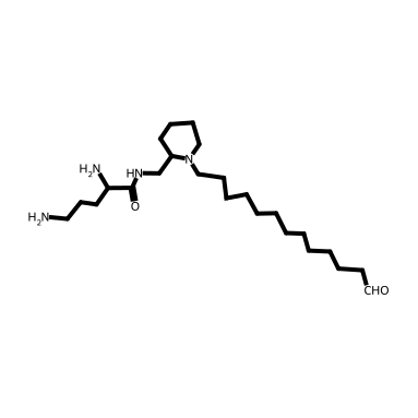 NCCCC(N)C(=O)NCC1CCCCN1CCCCCCCCCCCCC=O